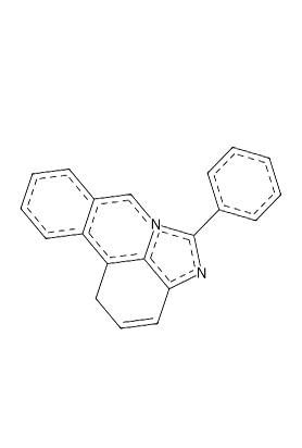 C1=Cc2nc(-c3ccccc3)n3cc4ccccc4c(c23)C1